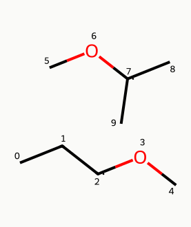 CC[CH]OC.CO[C](C)C